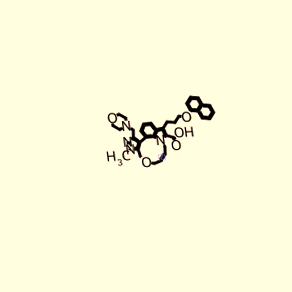 Cn1nc(CN2CCOCC2)c2c1COC/C=C\Cn1c(C(=O)O)c(CCCOc3cccc4ccccc34)c3cccc-2c31